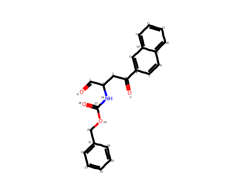 O=CC(CC(=O)c1ccc2ccccc2c1)NC(=O)OCc1ccccc1